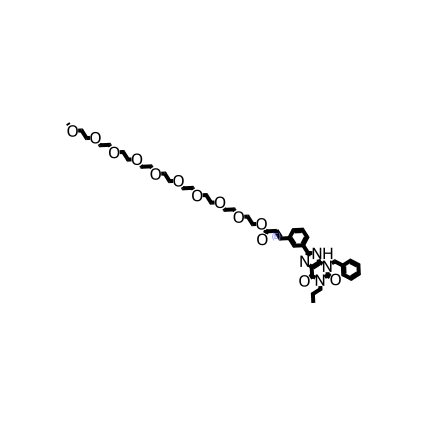 CCCn1c(=O)c2nc(-c3cccc(/C=C/C(=O)OCCOCCOCCOCCOCCOCCOCCOCCOCCOC)c3)[nH]c2n(Cc2ccccc2)c1=O